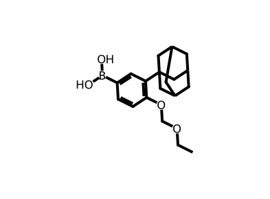 CCOCOc1ccc(B(O)O)cc1C12CC3CC(CC(C3)C1)C2